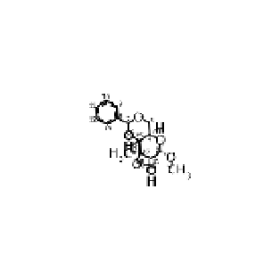 CO[C@H]1O[C@@H]2COC(c3ccccc3)O[C@H]2[C@@](C)(O)[C@H]1O